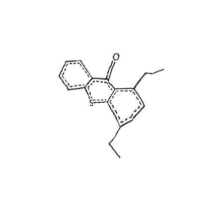 CCc1ccc(CC)c2c(=O)c3ccccc3sc12